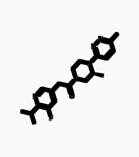 Cc1ccc(N2CCN(C(=O)Cc3cnc(C(C)C)c(F)c3)C[C@@H]2C)nn1